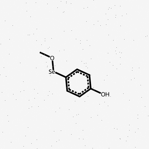 CO[Se]c1ccc(O)cc1